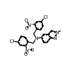 Cn1cc2cc(N(Cc3ccc(Cl)cc3[N+](=O)[O-])Cc3ccc(Cl)cc3[N+](=O)[O-])ccc2n1